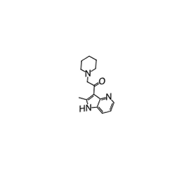 Cc1[nH]c2cccnc2c1C(=O)CN1CCCCC1